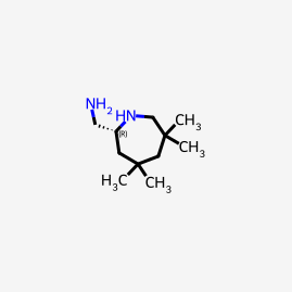 CC1(C)CN[C@@H](CN)CC(C)(C)C1